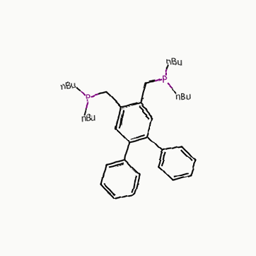 CCCCP(CCCC)Cc1cc(-c2ccccc2)c(-c2ccccc2)cc1CP(CCCC)CCCC